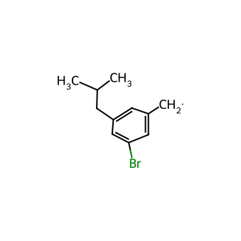 [CH2]c1cc(Br)cc(CC(C)C)c1